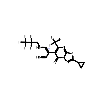 N=C/C(=C\NCC(F)(F)C(F)(F)F)c1c(C(F)(F)F)nc2sc(C3CC3)nn2c1=O